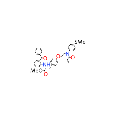 C=CC(=O)N(CCOc1ccc(C[C@H](Nc2ccccc2C(=O)c2ccccc2)C(=O)OC)cc1)c1ccc(SC)cc1